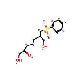 O=C(CO)CCCC(CO)CS(=O)(=O)c1ccccc1